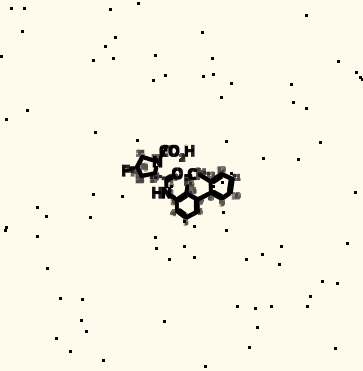 O=C(Nc1cccc(-c2ccccc2Cl)c1F)[C@@H]1C[C@@H](F)CN1C(=O)O